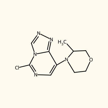 CC1COCCN1c1cnc(Cl)n2cnnc12